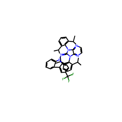 CC(C)c1cccc(C(C)C)c1-n1c(=Nn2c3ccccc3c3cc(C(F)(F)F)ccc32)n(-c2c(C(C)C)cccc2C(C)C)c2nccnc21